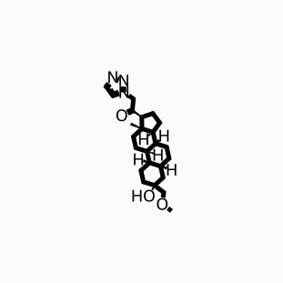 COC[C@@]1(O)CC[C@H]2[C@H](CC[C@@H]3[C@@H]2CC[C@]2(C)[C@@H](C(=O)Cn4ccnn4)CC[C@@H]32)C1